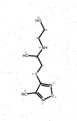 N#Cc1nonc1SCC(O)NCCO